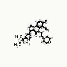 COC(C)(C)c1noc(-c2ncn3c2c(=O)n(CCN2CCOCC2)c2c(C#N)c(F)ccc23)n1